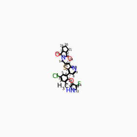 Cc1cc(Cl)cc(-c2ccnc3cc(CN4C(=O)C5CCCC5C4=O)sc23)c1O[C@@H]1CNC[C@@H]1F